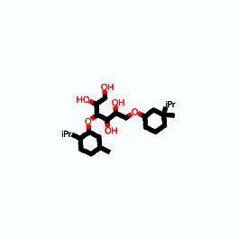 CC1CCC(C(C)C)C(OC(C(O)CO)C(O)C(O)COC2CCCC(C)(C(C)C)C2)C1